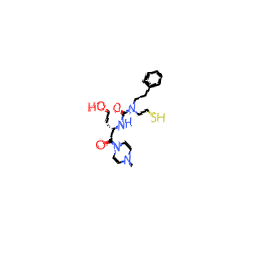 CN1CCN(C(=O)[C@H](CCO)NC(=O)N(CCS)CCc2ccccc2)CC1